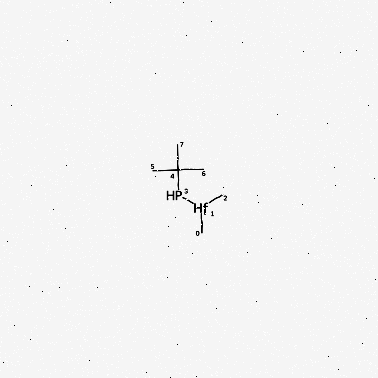 [CH3][Hf]([CH3])[PH]C(C)(C)C